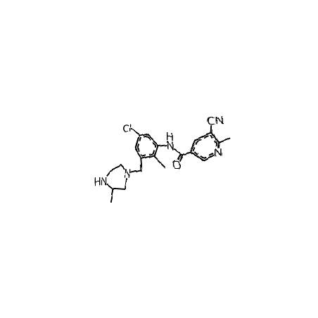 Cc1ncc(C(=O)Nc2cc(Cl)cc(CN3CCNC(C)C3)c2C)cc1C#N